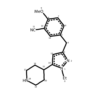 CCn1nc(Cc2ccc(OC)c(C#N)c2)cc1C1CCNCC1